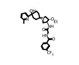 CCO[C@H]1CN(C2CCC(O)(c3cccc(C)n3)CC2)C[C@@H]1NC(=O)CNC(=O)c1cccc(C(F)(F)F)c1